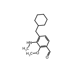 CNc1c(CC2CCCCC2)ccc(C=O)c1OC